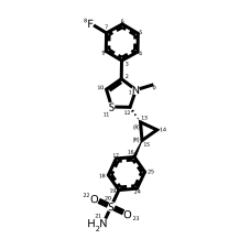 CN1C(c2cccc(F)c2)=CSC1[C@@H]1C[C@H]1c1ccc(S(N)(=O)=O)cc1